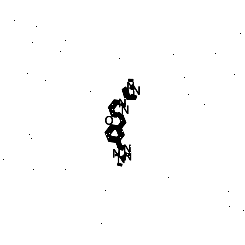 Cn1cc(-n2ccc(=O)c(Cc3cccc(-c4nnn(C)n4)c3)n2)cn1